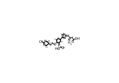 N[C@@H](CC(=O)O)Cn1nnc(-c2ccc(OCCc3cnc(Cl)nc3)c(F)c2)n1.O=CO